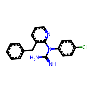 N=C(N)N(c1ccc(Cl)cc1)c1ncccc1Cc1ccccc1